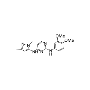 COc1ccc(Nc2nccc(Nc3cc(C)nn3C)n2)cc1OC